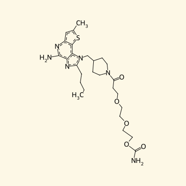 CCCCc1nc2c(N)nc3cc(C)sc3c2n1CC1CCN(C(=O)CCOCCOCCOC(N)=O)CC1